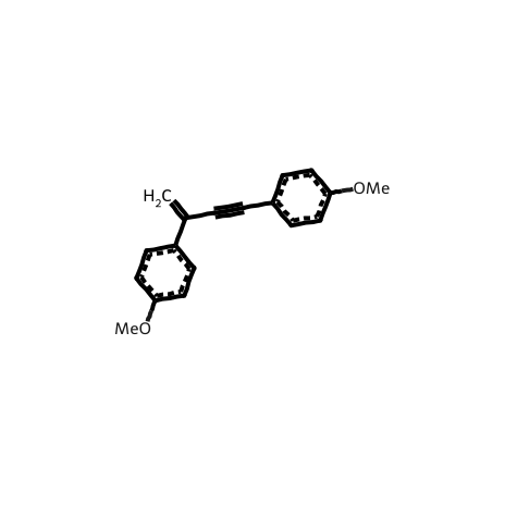 C=C(C#Cc1ccc(OC)cc1)c1ccc(OC)cc1